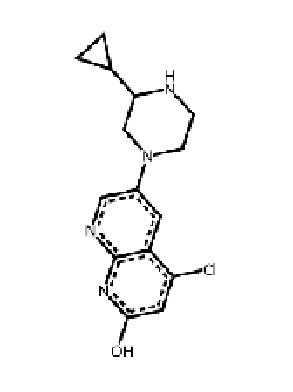 Oc1cc(Cl)c2cc(N3CCNC(C4CC4)C3)cnc2n1